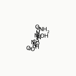 N[C@@H]1COCC12CCN(c1ncc(Sc3ccnc4c3OC[C@@H]3C[C@H](OC5CCOC5)CN43)nc1CO)CC2